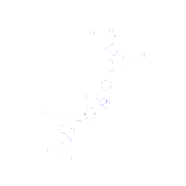 Cn1c(-c2ccc(C3=CCN(/C(=N\C(=O)OC(C)(C)C)NC(=O)OC(C)(C)C)CC3)c(F)c2)nnc1-c1ccc(C2=CCN(/C(=N\C(=O)OC(C)(C)C)NC(=O)OC(C)(C)C)CC2)cc1F